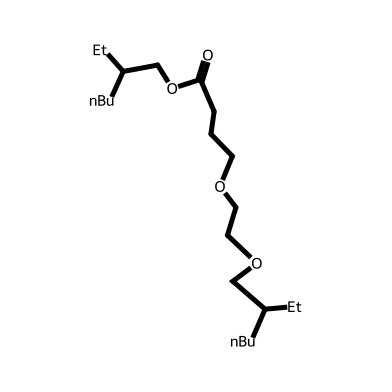 CCCCC(CC)COCCOCCCC(=O)OCC(CC)CCCC